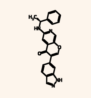 C[C@H](Nc1cc2c(=O)c(-c3ccc4cn[nH]c4c3)coc2cn1)c1ccccc1